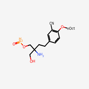 CCCCCCCCOc1ccc(CCC(N)(CO)CO[PH2]=O)cc1C#N